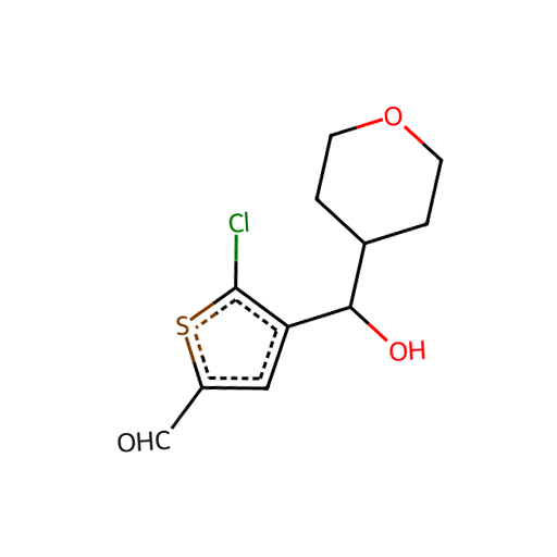 O=Cc1cc(C(O)C2CCOCC2)c(Cl)s1